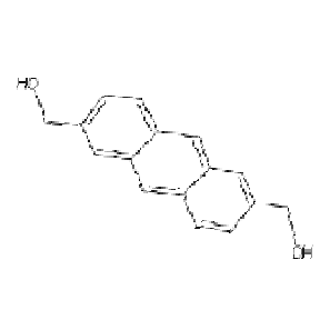 OCc1ccc2cc3cc(CO)ccc3cc2c1